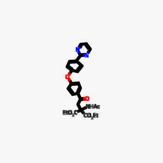 CCOC(=O)C(CC(=O)c1ccc(Oc2ccc(-c3ncccn3)cc2)cc1)(NC(C)=O)C(=O)OCC